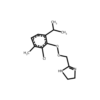 Cc1ccc(C(C)C)c(OOCC2=NCCN2)c1Cl